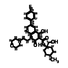 C[C@H]1CC[C@](CO)(NC(=O)c2c(O)c3cc(-c4ccc(F)cc4)cnc3n(CCN3CCOCC3)c2=O)CC1